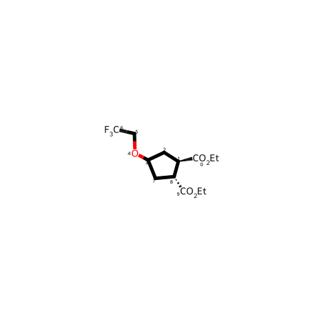 CCOC(=O)[C@@H]1CC(OCC(F)(F)F)C[C@H]1C(=O)OCC